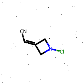 N#CC=C1CN(Cl)C1